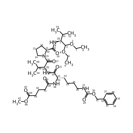 CCOC(OCC)[C@@H](NC(=O)[C@@H]1CCCN1C(=O)[C@@H](NC(=O)[C@H](CCCCNC(=O)OCc1ccccc1)NC(=O)CCCC(=O)OC)C(C)C)C(C)C